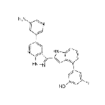 Nc1cncc(-c2cnc3[nH]nc(-c4cc5c(-c6cc(O)cc(F)c6)cccc5[nH]4)c3c2)c1